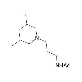 CC(=O)NCCCN1CC(C)CC(C)C1